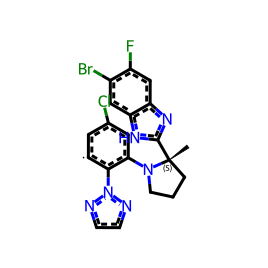 C[C@@]1(c2nc3cc(F)c(Br)cc3[nH]2)CCCN1c1cc(Cl)c[c]c1-n1nccn1